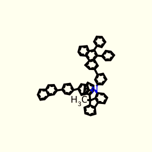 CC1(c2ccccc2)c2ccccc2-c2cccc(N(c3ccc(-c4ccc(-c5ccc6ccccc6c5)cc4)cc3)c3cccc(-c4ccc5c(c4)c(-c4ccccc4)c(-c4ccccc4)c4ccccc45)c3)c21